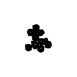 c1ccc(-c2nc(-c3ccccc3)nc(-c3cc4c(cc3-c3ccc5c(c3)oc3ccccc35)C(c3ccccc3)(c3ccccc3)c3ccccc3-4)n2)cc1